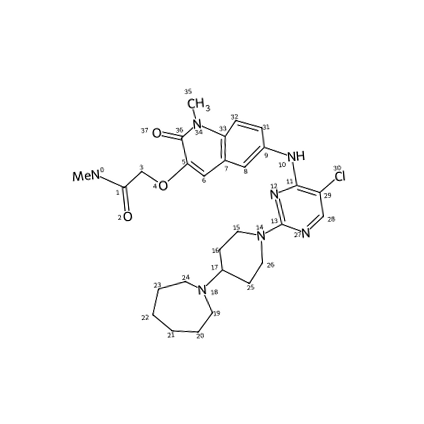 CNC(=O)COc1cc2cc(Nc3nc(N4CCC(N5CCCCCC5)CC4)ncc3Cl)ccc2n(C)c1=O